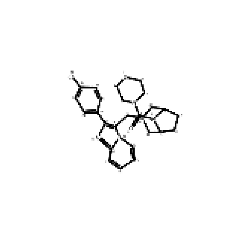 O=C(N1CCSCC1)N1C2CCC1CN(Cc1c(-c3ccc(Cl)cc3)nc3ccccn13)C2